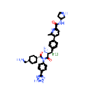 Cc1nc(C(=O)N[C@H]2CCNC2)ccc1-c1ccc(C[C@H](N)C(=O)N(c2ccc(-c3nn[nH]n3)cc2)C(=O)[C@H]2CC[C@H](CN)CC2)cc1.Cl